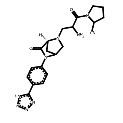 N#CC1CCCN1C(=O)C(N)CN1CC2C[C@H]1C(=O)N2c1ccc(-c2nnn[nH]2)cc1